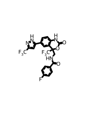 O=C1Nc2ccc(-c3cc(C(F)(F)F)n[nH]3)cc2C(CNC(=O)c2ccc(F)cc2)(C(F)(F)F)O1